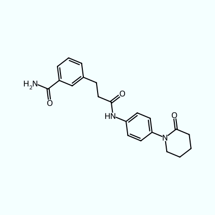 NC(=O)c1cccc(CCC(=O)Nc2ccc(N3CCCCC3=O)cc2)c1